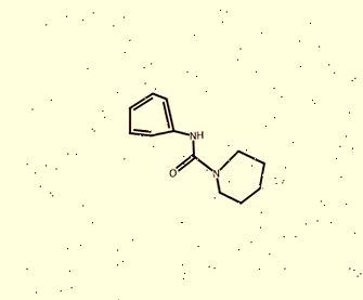 O=C(Nc1ccccc1)N1CC[CH]CC1